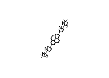 CC1(C)CSC(c2ccc(-c3cc4ccc5cc(-c6ccc(C7=NC(C)(C)CS7)nc6)cc6ccc(c3)c4c56)cn2)=N1